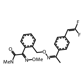 CNC(=O)/C(=N/OC)c1ccccc1CON=C(C)c1ccc(C=C(F)F)cc1